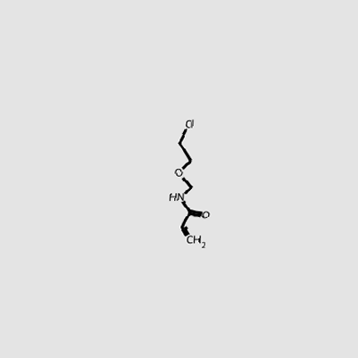 C=CC(=O)NCOCCCl